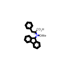 CON(C1c2ccccc2-c2ccccc21)[C@@H](Cc1ccccc1)C(=O)O